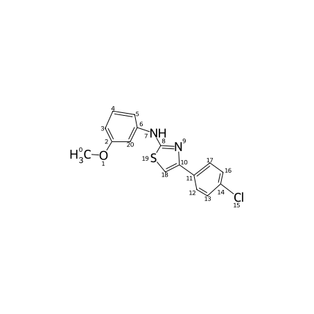 COc1cccc(Nc2nc(-c3ccc(Cl)cc3)cs2)c1